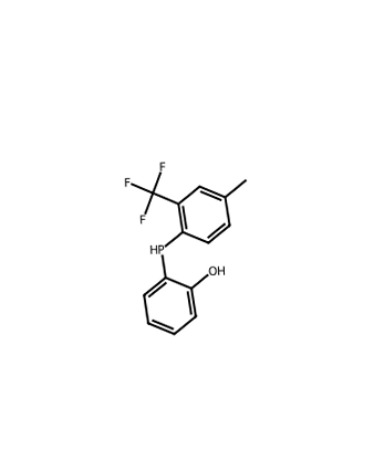 Cc1ccc(Pc2ccccc2O)c(C(F)(F)F)c1